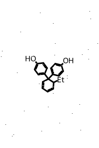 CCC1C=CC=CC1(c1ccc(O)cc1)c1ccc(O)cc1